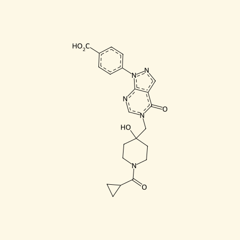 O=C(O)c1ccc(-n2ncc3c(=O)n(CC4(O)CCN(C(=O)C5CC5)CC4)cnc32)cc1